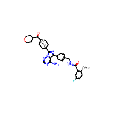 COc1ccc(F)cc1C(=O)NCc1ccc(-c2nc(C34CCC(C(=O)C5CCOCC5)(CC3)CC4)n3ncnc(N)c23)cc1